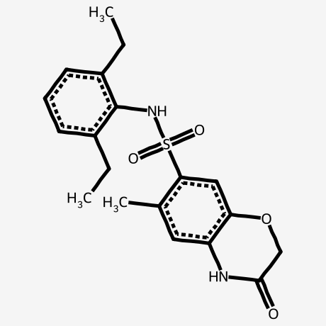 CCc1cccc(CC)c1NS(=O)(=O)c1cc2c(cc1C)NC(=O)CO2